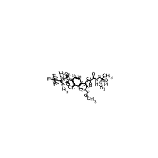 COCCc1nc(C(=O)NCC(C)(C)O)sc1-c1ccc(S(=O)(=O)N[C@@H](C)C(F)(F)F)c(Cl)c1Cl